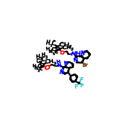 CC(C)(C)[Si](C)(C)OCCNc1ncc(-c2ccc(C(F)(F)F)cc2)c2cccnc12.CC(C)(C)[Si](C)(C)OCCNc1ncc(Br)c2cccnc12